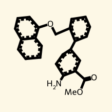 COC(=O)c1cc(-c2ccccc2COc2cccc3ccccc23)ccc1N